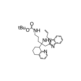 C=CCn1c(CC(N)(CCCNC(=O)OC(C)(C)C)C2CCCc3cccnc32)nc2ccccc21